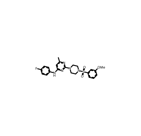 COc1cccc(S(=O)(=O)N2CCN(c3nc(C)cc(Nc4ccc(F)cc4)n3)CC2)c1